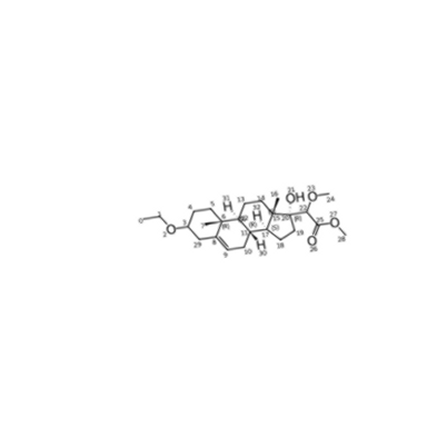 CCOC1CC[C@@]2(C)C(=CC[C@@H]3[C@@H]2CC[C@@]2(C)[C@H]3CC[C@]2(O)C(OC)C(=O)OC)C1